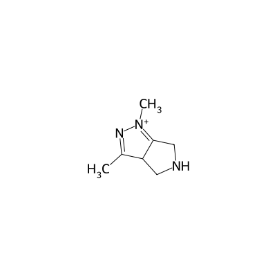 CC1=N[N+](C)=C2CNCC12